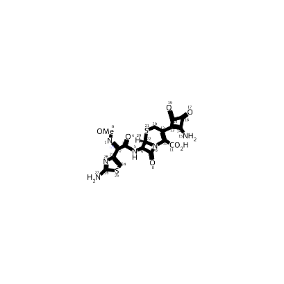 CO/N=C(\C(=O)NC1C(=O)N2C(C(=O)O)=C(c3c(N)c(=O)c3=O)CS[C@@H]12)c1csc(N)n1